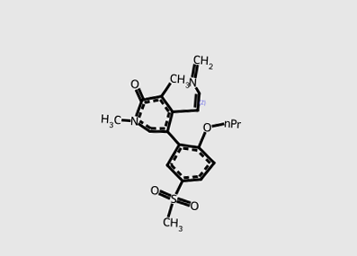 C=N/C=C\c1c(-c2cc(S(C)(=O)=O)ccc2OCCC)cn(C)c(=O)c1C